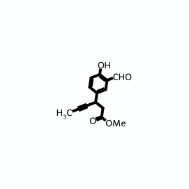 CC#CC(CC(=O)OC)c1ccc(O)c(C=O)c1